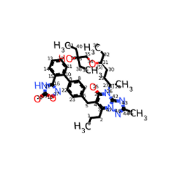 CCCc1c(Cc2ccc(-c3ccccc3-c3noc(=O)[nH]3)cc2)c(=O)n([C@@H](C)CC[C@H](CC)OCC(O)(CC)CC)c2nc(C)nn12